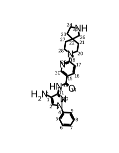 Nc1cn(-c2ccccc2)nc1NC(=O)c1ccc(N2CCC3(CCNC3)CC2)nc1